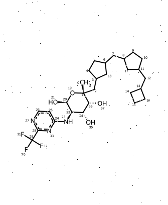 C[C@]1(CC2CCC(CC3CCC(CC4CCC4)C3)C2)O[C@H](O)[C@H](Nc2ccnc(C(F)(F)F)n2)[C@@H](O)[C@H]1O